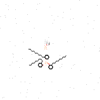 CCCCCCCCCc1ccccc1OP(Oc1ccccc1CCCCCCCCC)Oc1ccccc1CCCCCCCCC.[Na+].[Na+].[Na+].[O-]P([O-])[O-]